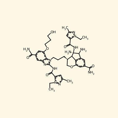 CCn1nc(C)cc1C(=O)Nc1nc2cc(C(N)=O)cc(OCCCO)c2n1CCC[C@@H]1COc2cc(C(N)=O)cc3c2C1[C@@](N)(NC(=O)c1cc(C)nn1CC)C3N